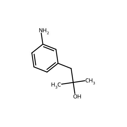 CC(C)(O)Cc1cccc(N)c1